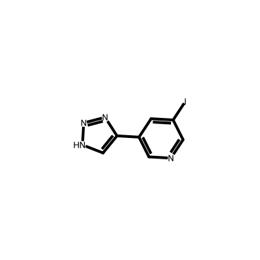 Ic1cncc(-c2c[nH]nn2)c1